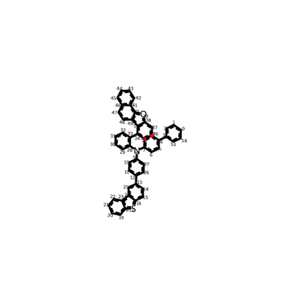 c1ccc(-c2ccc(N(c3ccc(-c4ccc5sc6ccccc6c5c4)cc3)c3ccccc3-c3cccc4oc5c6ccccc6ccc5c34)cc2)cc1